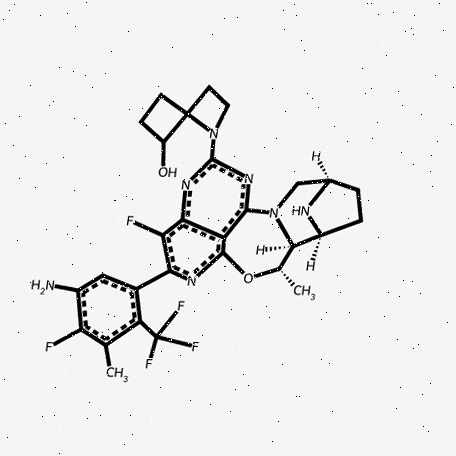 Cc1c(F)c(N)cc(-c2nc3c4c(nc(N5CCC56CCC6O)nc4c2F)N2C[C@H]4CC[C@H](N4)[C@H]2[C@H](C)O3)c1C(F)(F)F